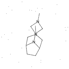 CN1CC2CCC(C1)N2C1CN(C)C1